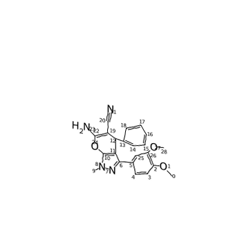 COc1ccc(-c2nn(C)c3c2C(c2ccccc2)C(C#N)=C(N)O3)cc1OC